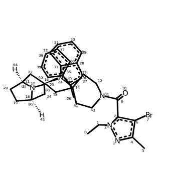 CCn1nc(C)c(Br)c1C(=O)N1CCC(CCN2[C@@H]3CC[C@H]2C[C@@H](n2c(C)nc4ccccc42)C3)(c2ccccc2)CC1